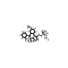 CN(C)CCc1nnc(CO)n1-c1ccc(Br)cc1C(=O)c1ccccc1Cl